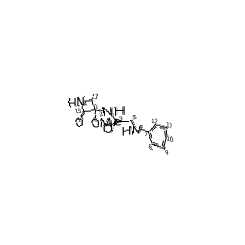 COC1(NC(=O)CNc2ccccc2)CNC1=O